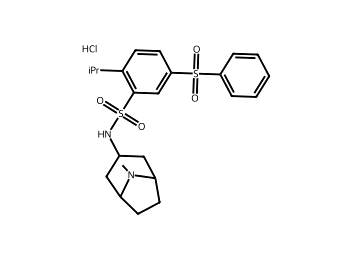 CC(C)c1ccc(S(=O)(=O)c2ccccc2)cc1S(=O)(=O)NC1CC2CCC(C1)N2C.Cl